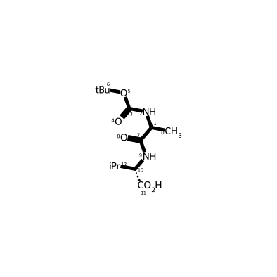 CC(NC(=O)OC(C)(C)C)C(=O)N[C@H](C(=O)O)C(C)C